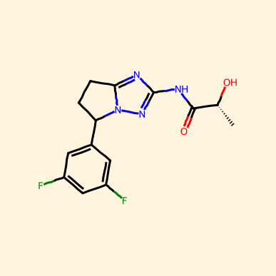 C[C@@H](O)C(=O)Nc1nc2n(n1)C(c1cc(F)cc(F)c1)CC2